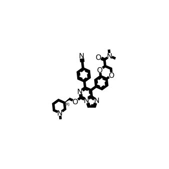 CN1CCC[C@@H](COc2nc(-c3ccc(C#N)cc3)c(-c3ccc4c(c3)OC(C(=O)N(C)C)CO4)c3nccn23)C1